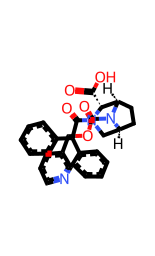 O=C(O)[C@@H]1[C@H]2CC[C@@H](CN1C(=O)C(c1ccccc1)c1ccccc1)N2C(=O)OCc1cccnc1